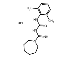 Cc1cccc(C)c1NC(=O)NC(=N)N1CCCCCC1.Cl